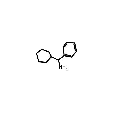 NC(c1ccccc1)C1CCCCC1